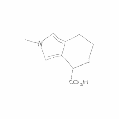 Cn1cc2c(c1)C(C(=O)O)CCC2